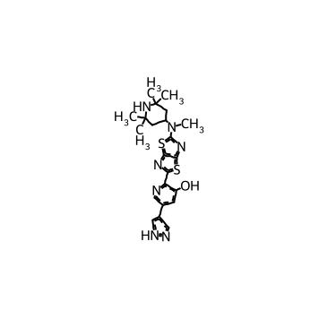 CN(c1nc2sc(-c3ncc(-c4cn[nH]c4)cc3O)nc2s1)C1CC(C)(C)NC(C)(C)C1